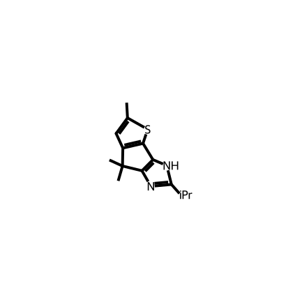 Cc1cc2c(s1)-c1[nH]c(C(C)C)nc1C2(C)C